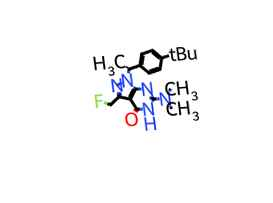 C[C@H](c1ccc(C(C)(C)C)cc1)n1nc(CF)c2c(=O)[nH]c(N(C)C)nc21